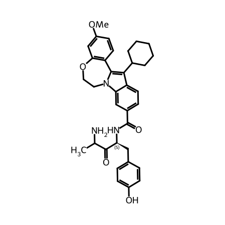 COc1ccc2c(c1)OCCn1c-2c(C2CCCCC2)c2ccc(C(=O)N[C@@H](Cc3ccc(O)cc3)C(=O)C(C)N)cc21